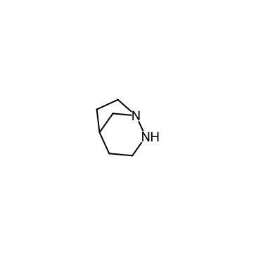 C1CC2CCN(C2)N1